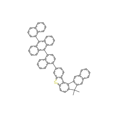 CC1(C)c2cc3ccccc3cc2-c2c1ccc1sc3cc(-c4ccc(-c5c6ccccc6c(-c6cccc7ccccc67)c6ccccc56)c5ccccc45)ccc3c21